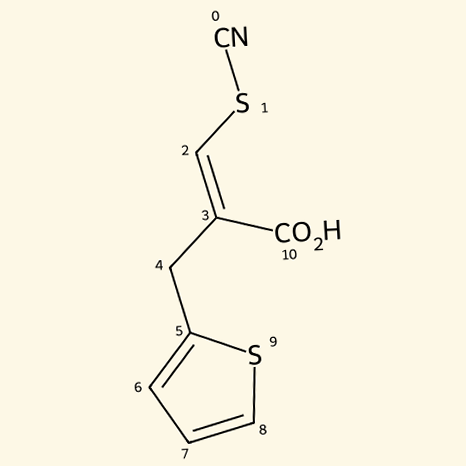 N#CS/C=C(/Cc1cccs1)C(=O)O